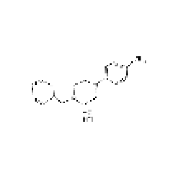 Cl.Cl.Nc1ccc(N2CCN(Cc3ccccc3)CC2)cc1